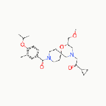 COCC1CN(CC(=O)C2CC2)CC2(CCN(C(=O)c3ccc(OC(C)C)c(C)c3)CC2)O1